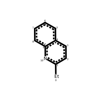 CCc1ccc2c[c]ccc2n1